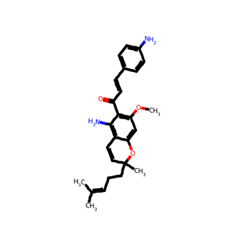 COc1cc2c(c(N)c1C(=O)/C=C/c1ccc(N)cc1)C=CC(C)(CCC=C(C)C)O2